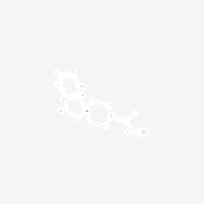 CCOC(=O)C(C)=C1CCC2(CC1)CCc1ccccc12